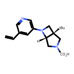 C=Cc1cncc(N2C[C@]3(C(C)(C)C)CN(C(=O)O)C[C@H]23)c1